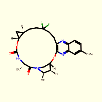 CC[C@@H]1[C@@H]2CN(C(=O)[C@H](C(C)(C)C)NC(=O)O[C@@H]3C[C@H]3CCC(F)(F)CCc3nc4ccc(OC)cc4nc3O2)[C@@H]1C(C)=O